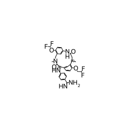 C[C@@H]1CC(=O)Nc2ccc(OC(F)F)c(c2)CN(C)C(=O)[C@H](Nc2ccc(C(=N)N)cc2)c2ccc(OCC(F)F)c1c2